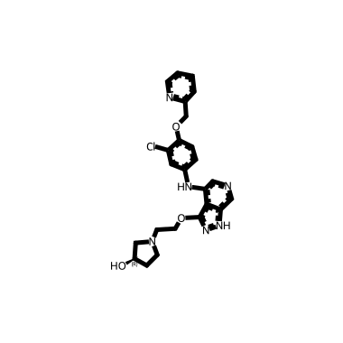 O[C@@H]1CCN(CCOc2n[nH]c3cncc(Nc4ccc(OCc5ccccn5)c(Cl)c4)c23)C1